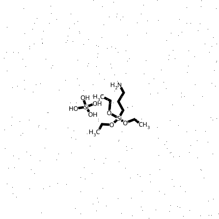 CCO[Si](CCCN)(OCC)OCC.O[Si](O)(O)O